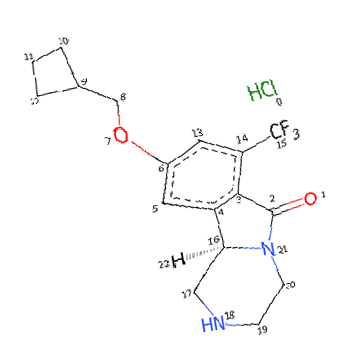 Cl.O=C1c2c(cc(OCC3CCC3)cc2C(F)(F)F)[C@@H]2CNCCN12